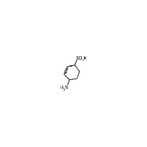 NC1C=CC(S(=O)(=O)O)CC1